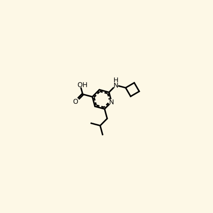 CC(C)Cc1cc(C(=O)O)cc(NC2CCC2)n1